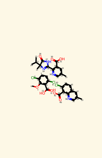 COc1c(Cl)ccc(Cl)c1C(=O)O.Cc1cnc(C2=NC(C)(C(C)C)C(=O)N2)c(C(=O)O)c1.Cc1cnc2c(C(=O)O)c(Cl)ccc2c1